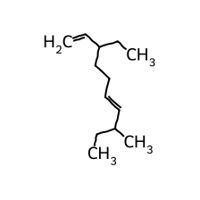 C=CC(CC)CCC=CC(C)CC